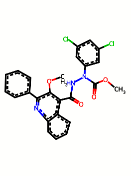 COC(=O)N(NC(=O)c1c(OC)c(-c2ccccc2)nc2ccccc12)c1cc(Cl)cc(Cl)c1